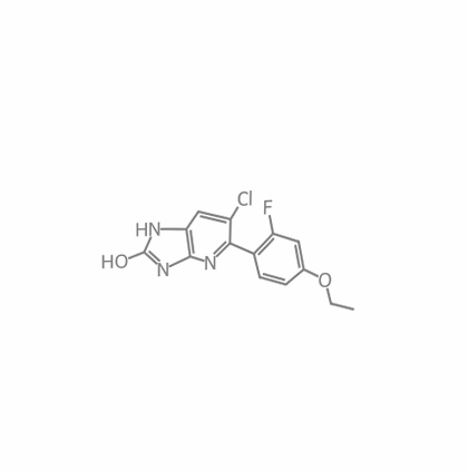 CCOc1ccc(-c2nc3nc(O)[nH]c3cc2Cl)c(F)c1